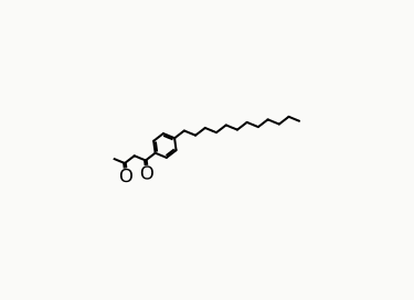 CCCCCCCCCCCCc1ccc(C(=O)CC(C)=O)cc1